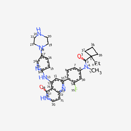 CCC1(C(=O)N(C)c2ccc(-c3cc(Nc4ccc(N5CCNCC5)cn4)c4c(=O)[nH]ccc4n3)c(F)c2)CCC1